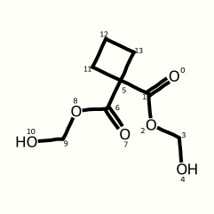 O=C(OCO)C1(C(=O)OCO)CCC1